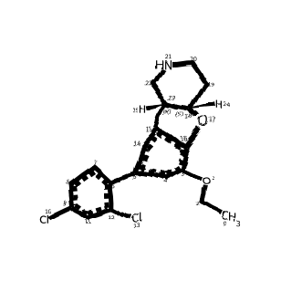 CCOc1cc(-c2ccc(Cl)cc2Cl)cc2c1O[C@H]1CCNC[C@@H]21